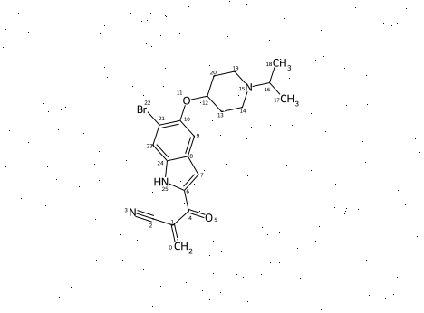 C=C(C#N)C(=O)c1cc2cc(OC3CCN(C(C)C)CC3)c(Br)cc2[nH]1